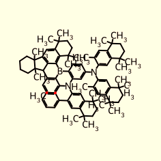 Cc1cc2c3c(c1)N(c1cc4c(cc1-c1ccccc1)C(C)(C)CCC4(C)C)c1cc(N(c4cc5c(cc4C)C(C)(C)CCC5(C)C)c4cc5c(cc4C)C(C)(C)CCC5(C)C)ccc1B3c1c3c(cc4c1C(C)(C)CCC4(C)C)C1(C)CCCCC1(C)C23